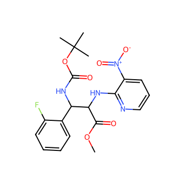 COC(=O)C(Nc1ncccc1[N+](=O)[O-])C(NC(=O)OC(C)(C)C)c1ccccc1F